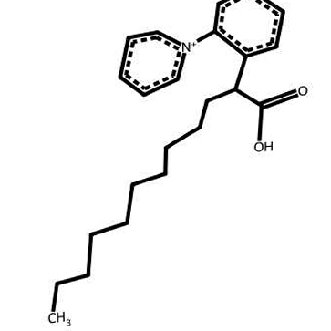 CCCCCCCCCCC(C(=O)O)c1ccccc1-[n+]1ccccc1